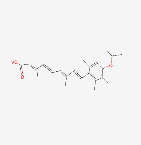 CC(/C=C/c1c(C)cc(OC(C)C)c(C)c1C)=C\C=C\C(C)=C\C(=O)O